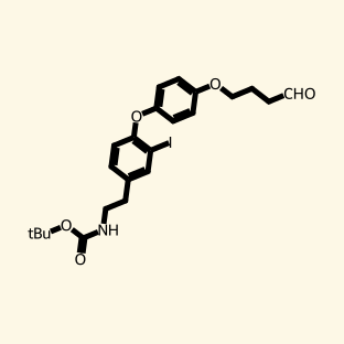 CC(C)(C)OC(=O)NCCc1ccc(Oc2ccc(OCCCC=O)cc2)c(I)c1